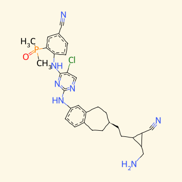 CP(C)(=O)c1cc(C#N)ccc1Nc1nc(Nc2ccc3c(c2)CC[C@@H](CCC2C(C#N)C2CN)CC3)ncc1Cl